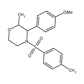 COc1ccc(C2C(C)OCCN2S(=O)(=O)c2ccc(C)cc2)cc1